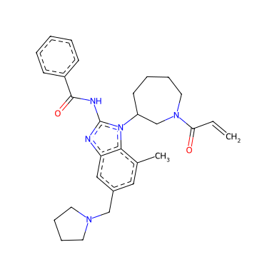 C=CC(=O)N1CCCCC(n2c(NC(=O)c3ccccc3)nc3cc(CN4CCCC4)cc(C)c32)C1